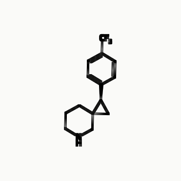 FC(F)(F)c1ccc([C@H]2CC23CCCNC3)cc1